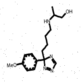 COc1ccc(C2(CCCCNC(C)CO)N=CN=N2)cc1